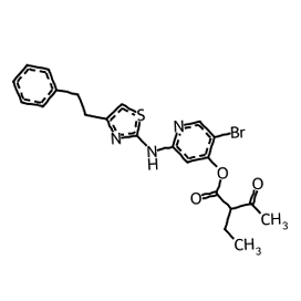 CCC(C(C)=O)C(=O)Oc1cc(Nc2nc(CCc3ccccc3)cs2)ncc1Br